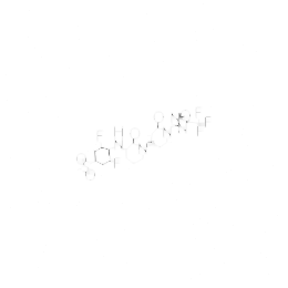 CS(=O)(=O)c1cc(F)c(NC2CCCN([C@H]3CCN(c4noc(C(F)(F)F)n4)C(=O)C3)C2=O)c(F)c1